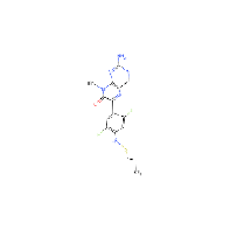 CC(C)n1c(=O)c(-c2cc(F)c(NSCCC(F)(F)F)cc2F)nc2cnc(N)nc21